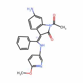 COc1ccc(N/C(=C2\C(=O)N(C(C)=O)c3cc(N)ccc32)c2ccccc2)cn1